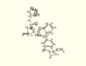 CC1(c2ccc([C@@H](NC(=O)[C@@H]3C[C@@H](F)CN3C(=O)Cc3cnn[nH]3)c3ccccc3)cc2F)CCC1